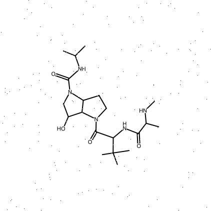 CNC(C)C(=O)NC(C(=O)N1CCC2C1C(O)CN2C(=O)NC(C)C)C(C)(C)C